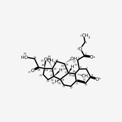 CCOC(=O)CC1CC(=O)C=C2CC[C@@H]3[C@H]([C@@H](O)C[C@@]4(C)[C@H]3CC[C@]4(O)C(=O)CO)[C@]21C